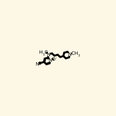 CN1CCC(CCCCN(C)c2cc(C#N)cc[n+]2[O-])CC1